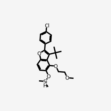 COCCOc1c(O[SiH](C)C)ccc2oc(-c3ccc(Cl)cc3)c(C(C)(C)C)c12